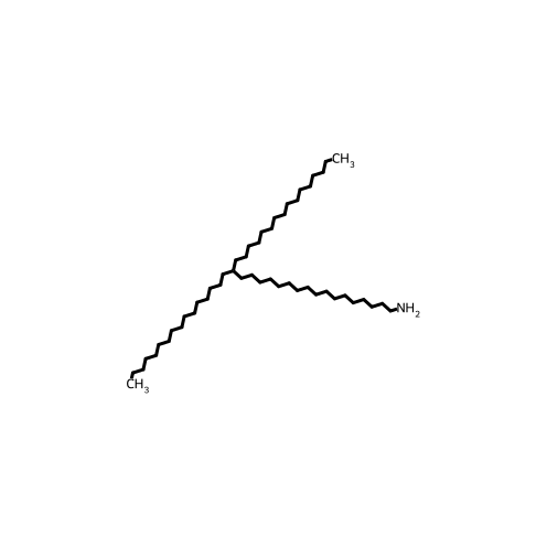 CCCCCCCCCCCCCCCCC(CCCCCCCCCCCCCCCC)CCCCCCCCCCCCCCCCCN